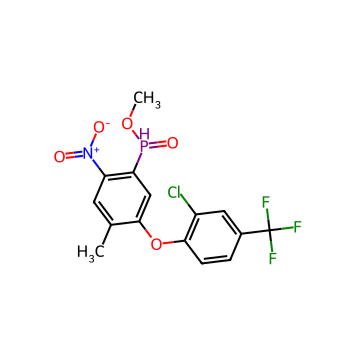 CO[PH](=O)c1cc(Oc2ccc(C(F)(F)F)cc2Cl)c(C)cc1[N+](=O)[O-]